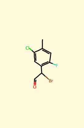 Cc1cc(F)c(C(Br)C=O)cc1Cl